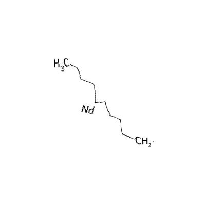 [CH2]CCCCCCCCC.[Nd]